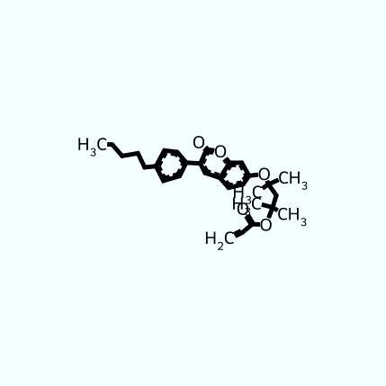 C=CC(=O)OC(C)(C)CC(C)(C)Oc1ccc2cc(-c3ccc(CCCCC)cc3)c(=O)oc2c1